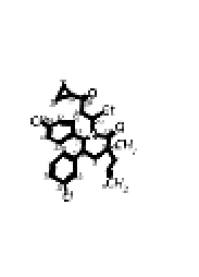 C=CC[C@@]1(C)CC(c2cccc(Cl)c2)C(c2ccc(Cl)cc2)N(C(CC)CC(=O)C2CC2)C1=O